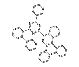 c1ccc(-c2nc(-c3ccccc3-c3ccccc3)nc(-c3cc4c5ccccc5c5ccccc5c4c4ccccc34)n2)cc1